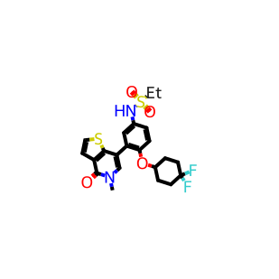 CCS(=O)(=O)Nc1ccc(OC2CCC(F)(F)CC2)c(-c2cn(C)c(=O)c3ccsc23)c1